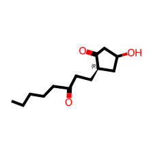 CCCCCC(=O)CC[C@@H]1CC(O)CC1=O